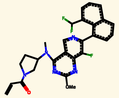 C=CC(=O)N1CCC(N(C)c2nc(OC)nc3c(F)c(-c4cccc5cccc(C(F)F)c45)ncc23)C1